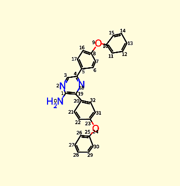 Nc1ncc(-c2ccc(Oc3ccccc3)cc2)nc1-c1ccc(Oc2ccccc2)cc1